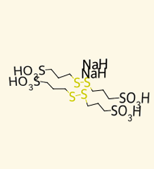 O=S(=O)(O)CCCSSCCCS(=O)(=O)O.O=S(=O)(O)CCCSSCCCS(=O)(=O)O.[NaH].[NaH]